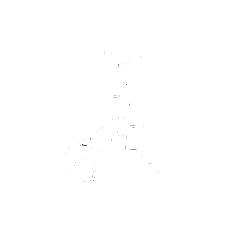 COCCCN1C(=O)N(CC(=O)NCC(N)=O)C[C@]12CC[C@](c1ccccc1)(N(C)C)CC2